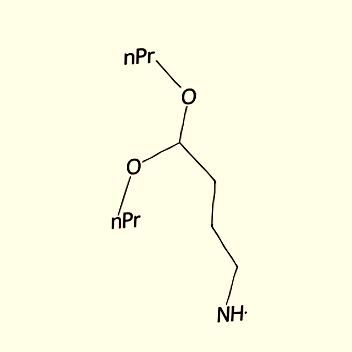 CCCOC(CCC[NH])OCCC